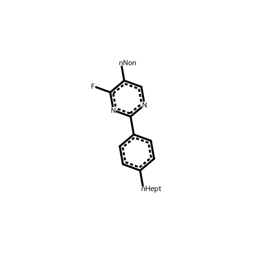 CCCCCCCCCc1cnc(-c2ccc(CCCCCCC)cc2)nc1F